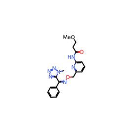 COCCC(=O)Nc1cccc(CO/N=C(/c2ccccc2)c2nnnn2C)n1